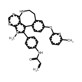 C=CC(=O)Nc1ccc(-c2c3c4c(ncnc4n2C)NCCc2cc(Oc4cccc(C)n4)ccc2-3)cc1